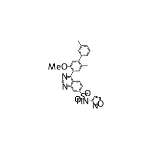 COc1cc(-c2cccc(C)c2)c(C)cc1-c1ncnc2cc(S(=O)(=O)Nc3ccon3)ccc12